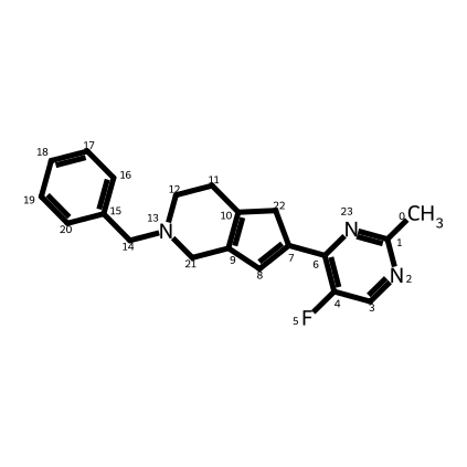 Cc1ncc(F)c(C2=CC3=C(CCN(Cc4ccccc4)C3)C2)n1